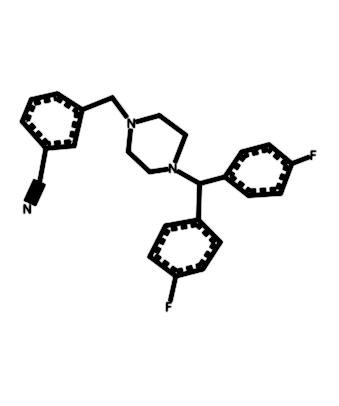 N#Cc1cccc(CN2CCN(C(c3ccc(F)cc3)c3ccc(F)cc3)CC2)c1